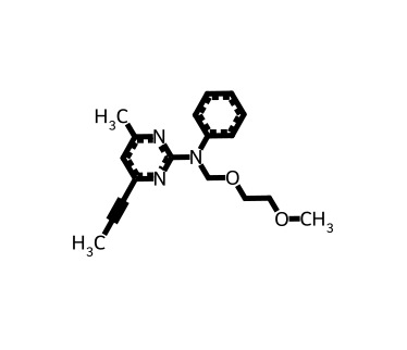 CC#Cc1cc(C)nc(N(COCCOC)c2ccccc2)n1